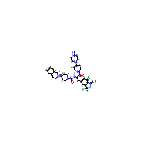 CNc1c(Cl)cc(C[C@@H](NC(=O)N2CCC(N3CCc4ccccc4C3)CC2)C(=O)N2CCC(N3CCNCC3)CC2)cc1C(F)(F)F